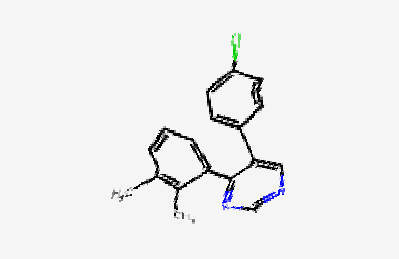 Cc1cccc(-c2n[c]ncc2-c2ccc(Cl)cc2)c1C